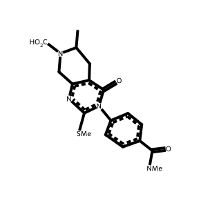 CNC(=O)c1ccc(-n2c(SC)nc3c(c2=O)CC(C)N(C(=O)O)C3)cc1